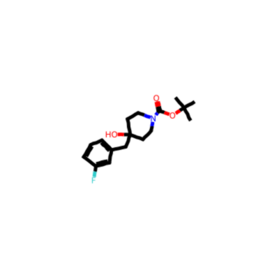 CC(C)(C)OC(=O)N1CCC(O)(Cc2cccc(F)c2)CC1